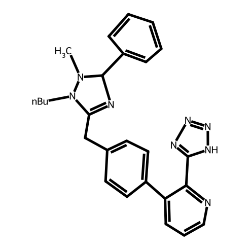 CCCCN1C(Cc2ccc(-c3cccnc3-c3nnn[nH]3)cc2)=NC(c2ccccc2)N1C